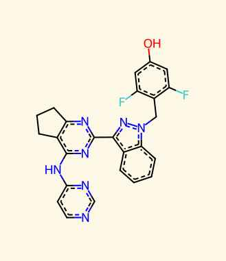 Oc1cc(F)c(Cn2nc(-c3nc4c(c(Nc5ccncn5)n3)CCC4)c3ccccc32)c(F)c1